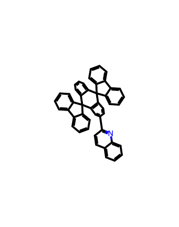 c1ccc2c(c1)-c1ccccc1C21c2ccccc2C2(c3ccccc3-c3ccccc32)c2cc(-c3ccc4ccccc4n3)ccc21